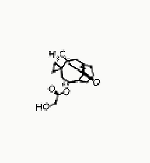 C[C@H]1CC23CCCC(C2C(=O)CC3)[C@H](OC(=O)CO)CC12CC2